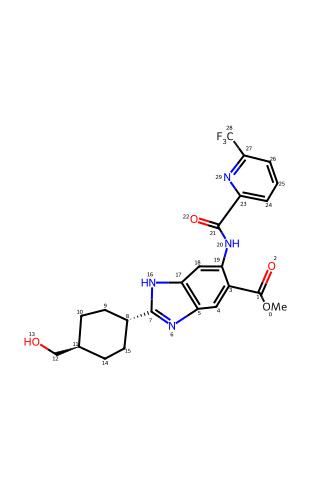 COC(=O)c1cc2nc([C@H]3CC[C@H](CO)CC3)[nH]c2cc1NC(=O)c1cccc(C(F)(F)F)n1